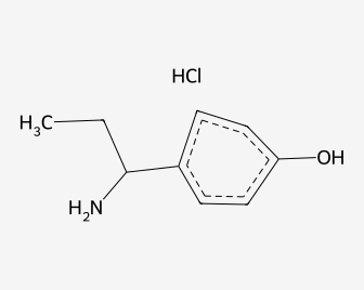 CCC(N)c1ccc(O)cc1.Cl